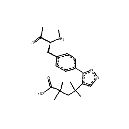 CN[C@@H](Cc1ccc(-n2nncc2C(C)(C)CC(C)(C)C(=O)O)cc1)C(C)=O